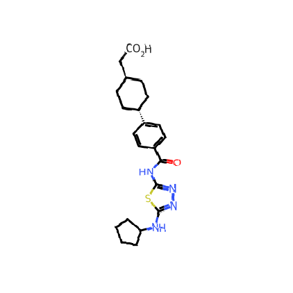 O=C(O)C[C@H]1CC[C@H](c2ccc(C(=O)Nc3nnc(NC4CCCC4)s3)cc2)CC1